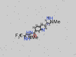 CN/C=C(\C=N)c1cnc2cc(C(=O)N/C(=C/C(=N)C(F)(F)F)NC)ccc2c1